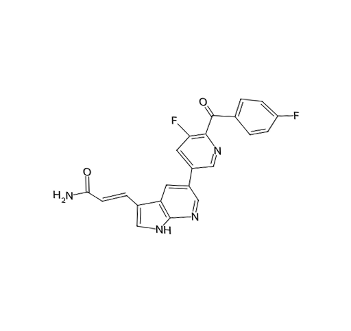 NC(=O)C=Cc1c[nH]c2ncc(-c3cnc(C(=O)c4ccc(F)cc4)c(F)c3)cc12